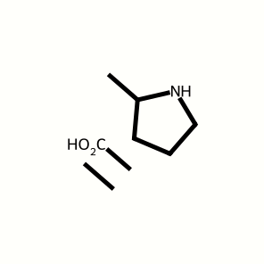 CC.CC(=O)O.CC1CCCN1